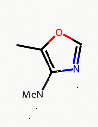 CNc1ncoc1C